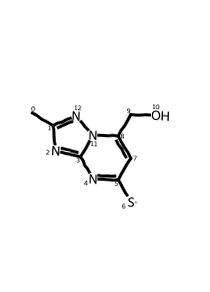 Cc1nc2nc([S])cc(CO)n2n1